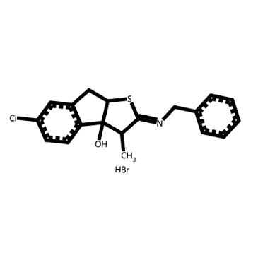 Br.CC1C(=NCc2ccccc2)SC2Cc3cc(Cl)ccc3C21O